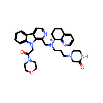 O=C1CN(CCCN(Cc2nccc3c4ccccc4n(CC(=O)N4CCOCC4)c23)[C@H]2CCCc3cccnc32)CCN1